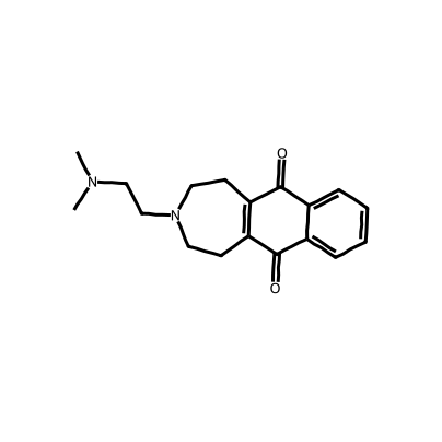 CN(C)CCN1CCC2=C(CC1)C(=O)c1ccccc1C2=O